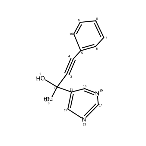 CC(C)(C)C(O)(C#Cc1ccccc1)c1cncnc1